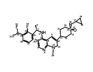 C[C@@H](Nc1ncnc2c1C=C(C1CCS(=O)(=NC3CC3)CC1)CN2C)c1cccc(C(F)F)c1F